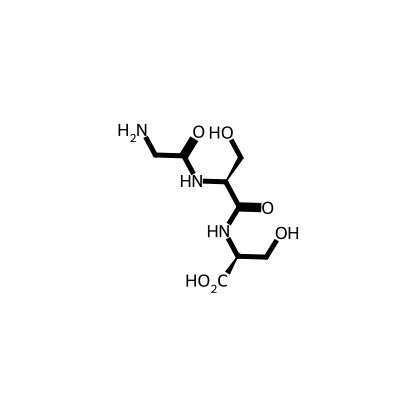 NCC(=O)N[C@@H](CO)C(=O)N[C@@H](CO)C(=O)O